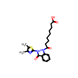 Cc1nc(NC(=O)c2ccccc2NC(=O)CCCCCCCC(=O)O)sc1C